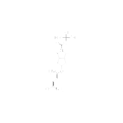 CC(C)(C)OC(=O)N1CC2CC(O/C(N)=C/C=C(\N)Cl)CC2C1